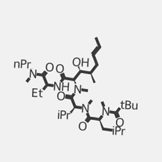 C/C=C/C[C@@H](C)[C@@H](O)[C@@H](C(=O)NC(CC)C(=O)N(C)CCC)N(C)C(=O)[C@H](C(C)C)N(C)C(=O)[C@H](CC(C)C)N(C)C(=O)C(C)(C)C